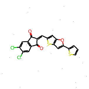 O=C1C(=Cc2cc3oc(-c4cccs4)cc3s2)C(=O)c2cc(Cl)c(Cl)cc21